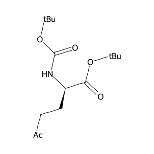 CC(=O)CC[C@@H](NC(=O)OC(C)(C)C)C(=O)OC(C)(C)C